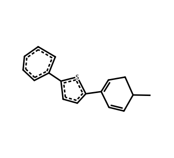 CC1C=CC(c2ccc(-c3ccccc3)s2)=CC1